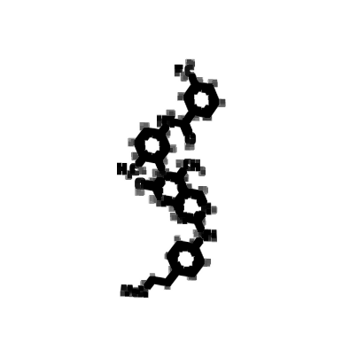 CNCCc1ccc(Nc2ncc3c(C)n(-c4cc(NC(=O)c5cccc(C(F)(F)F)c5)ccc4C)c(=O)nc3n2)cc1